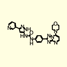 O=C(Nc1ccc(-c2nc3nccc(N4CCOCC4)n3n2)cc1)Nc1cc(-c2cccnc2)n[nH]1